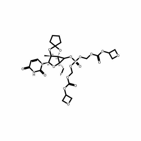 C[C@@]12OC3(CCCC3)O[C@@]13C(OP(=O)(OCOC(=O)OC1COC1)OCOC(=O)OC1COC1)[C@@]3(CF)O[C@H]2n1ccc(=O)[nH]c1=O